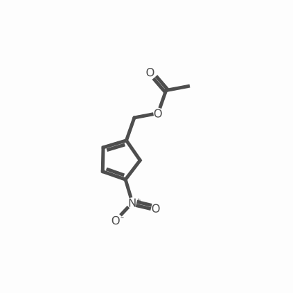 CC(=O)OCC1=CC=C([N+](=O)[O-])C1